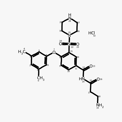 Cc1cc(C)cc(Oc2ccc(C(=O)NC(=O)CCN)cc2S(=O)(=O)N2CCNCC2)c1.Cl